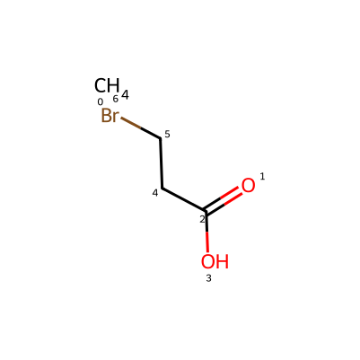 C.O=C(O)CCBr